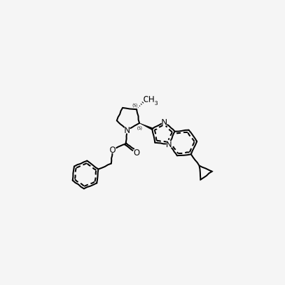 C[C@H]1CCN(C(=O)OCc2ccccc2)[C@@H]1c1cn2cc(C3CC3)ccc2n1